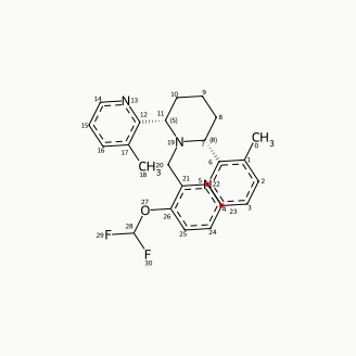 Cc1cccnc1[C@H]1CCC[C@@H](c2ncccc2C)N1Cc1ccccc1OC(F)F